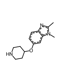 Cc1nc2ccc(OC3CCNCC3)cc2n1C